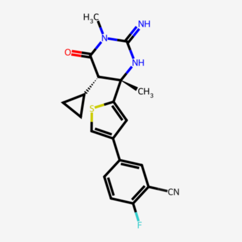 CN1C(=N)N[C@](C)(c2cc(-c3ccc(F)c(C#N)c3)cs2)[C@H](C2CC2)C1=O